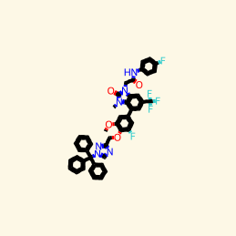 COc1cc(-c2cc(C(F)(F)F)cc3c2n(C)c(=O)n3CC(=O)Nc2ccc(F)cc2)cc(F)c1OCc1ncn(C(c2ccccc2)(c2ccccc2)c2ccccc2)n1